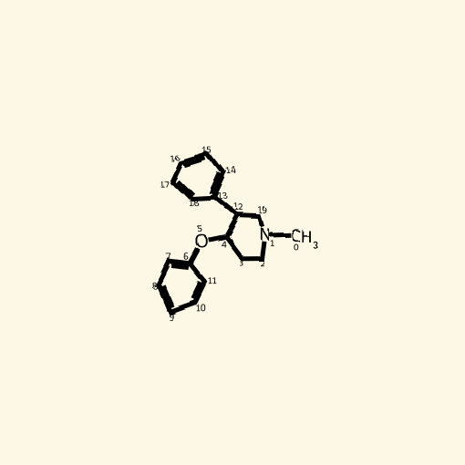 CN1CCC(Oc2ccccc2)C(c2ccccc2)C1